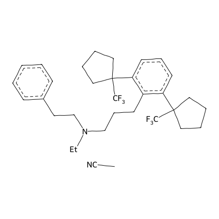 CC#N.CCN(CCCc1c(C2(C(F)(F)F)CCCC2)cccc1C1(C(F)(F)F)CCCC1)CCc1ccccc1